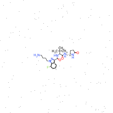 CC(C)(C)C(NC(=O)c1nn(CCCCN)c2c(F)cccc12)C(=O)NC[C@@H]1CCC(=O)N1